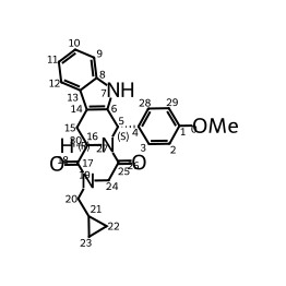 COc1ccc([C@H]2c3[nH]c4ccccc4c3C[C@@H]3C(=O)N(CC4CC4)CC(=O)N23)cc1